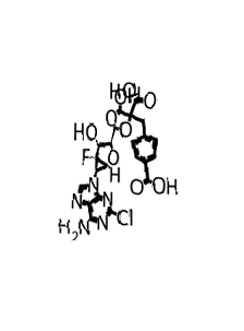 Nc1nc(Cl)nc2c1ncn2C1[C@@H]2O[C@H](COC(Cc3ccc(C(=O)O)cc3)(C(=O)O)C(=O)O)[C@@H](O)[C@]12F